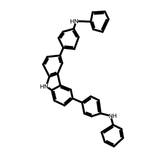 c1ccc(Nc2ccc(-c3ccc4[nH]c5ccc(-c6ccc(Nc7ccccc7)cc6)cc5c4c3)cc2)cc1